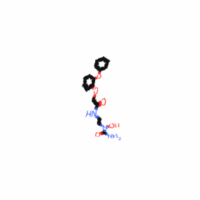 NC(=O)N(O)CCNC(=O)COc1ccccc1Oc1ccccc1